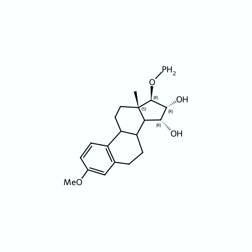 COc1ccc2c(c1)CCC1C2CC[C@@]2(C)C1[C@@H](O)[C@@H](O)[C@@H]2OP